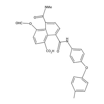 CNC(=O)c1ccc(C(=O)Nc2ccc(Oc3ccc(C)cc3)cc2)c2c(C(=O)O)ccc(OC=O)c12